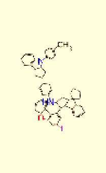 CC1=CC=C(N2C3=C(CCC=C3)C3CC(C4C=CC(NC5CC6C(c7ccccc7C67CCCC7)C5c5cc(I)cc6c5C5=C=CC=CC5O6)=CC4)CC32)CC1